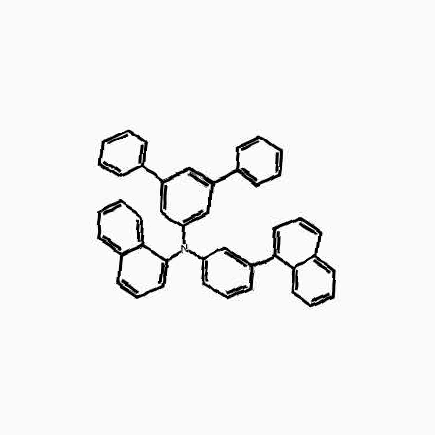 c1ccc(-c2cc(-c3ccccc3)cc(N(c3cccc(-c4cccc5ccccc45)c3)c3cccc4ccccc34)c2)cc1